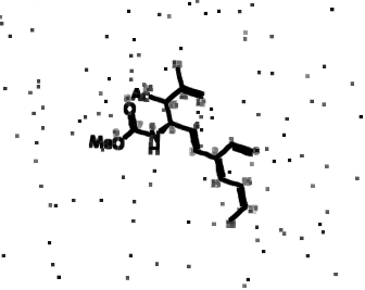 C=CC(/C=C/[C@@H](NC(=O)OC)C(C(=C)C)C(C)=O)=C\C=C/C